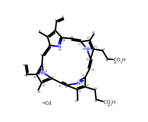 C=CC1=C(C)c2cc3[nH]c(cc4nc(cc5[nH]c(cc1n2)c(C)c5CCC(=O)O)C(CCC(=O)O)=C4C)c(C)c3C=C.[Cd]